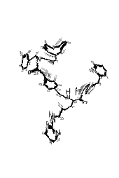 O=C(NCc1ccccn1)C(CCCNc1ncccn1)NCc1ccc(C(=O)N(Cc2ccccc2)Cc2ccccc2)cc1